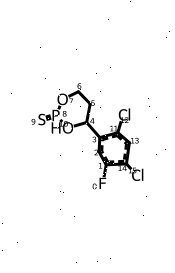 Fc1cc(C2CCO[PH](=S)O2)c(Cl)cc1Cl